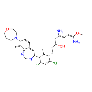 C=CC1=NC=NC(C2C(F)C=C(Cl)[C@@H](CCC(O)C/C(N)=C/C=C(\N)OC)C2C)C=C1/C=C\CN1CCCOCC1